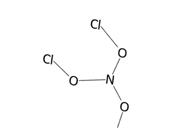 ClON(OCl)OCl